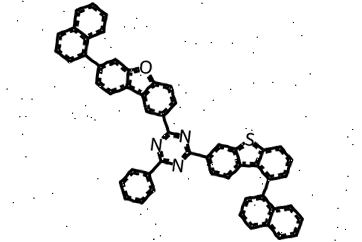 c1ccc(-c2nc(-c3ccc4c(c3)sc3cccc(-c5cccc6ccccc56)c34)nc(-c3ccc4oc5cc(-c6cccc7ccccc67)ccc5c4c3)n2)cc1